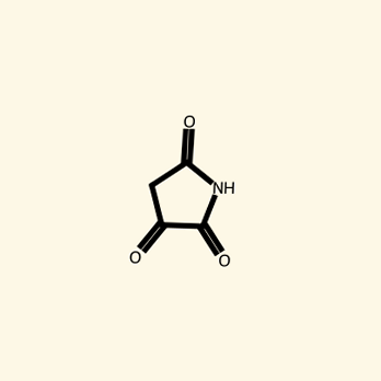 O=C1CC(=O)C(=O)N1